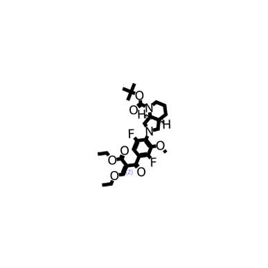 CCO/C=C(\C(=O)OCC)C(=O)c1cc(F)c(N2C[C@@H]3CCCN(C(=O)OC(C)(C)C)[C@@H]3C2)c(OC)c1F